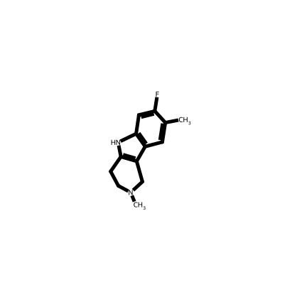 Cc1cc2c3c([nH]c2cc1F)CCN(C)C3